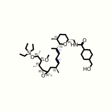 CC[Si](CC)(CC)O[C@H](C)[C@H](OC)[C@@H](C)[C@H]1O[C@]1(C)C[C@H](C)/C=C/C=C(\C)[C@H]1O[C@@H](CNC(=O)C2CCC(CO)CC2)CC[C@@H]1C